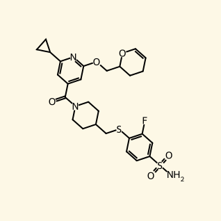 NS(=O)(=O)c1ccc(SCC2CCN(C(=O)c3cc(OCC4CCC=CO4)nc(C4CC4)c3)CC2)c(F)c1